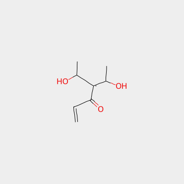 C=CC(=O)[C](C(C)O)C(C)O